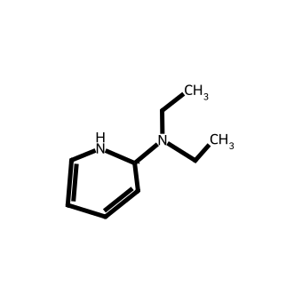 CCN(CC)[C]1C=CC=CN1